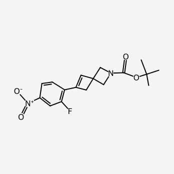 CC(C)(C)OC(=O)N1CC2(C=C(c3ccc([N+](=O)[O-])cc3F)C2)C1